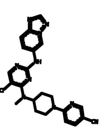 CN(c1nc(Nc2ccc3ncnn3c2)ncc1Cl)C1CCN(c2ccc(C#N)cn2)CC1